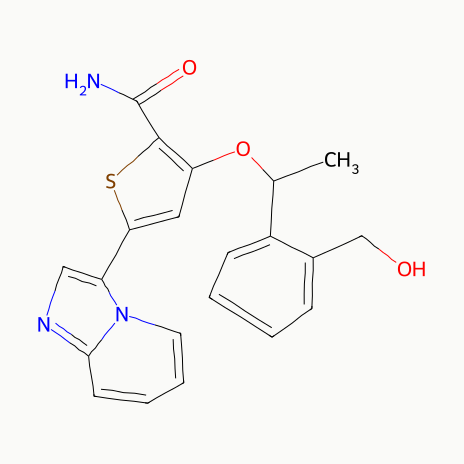 CC(Oc1cc(-c2cnc3ccccn23)sc1C(N)=O)c1ccccc1CO